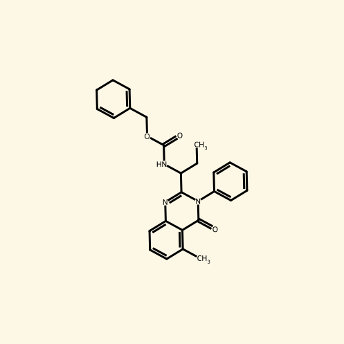 CCC(NC(=O)OCC1=CCCC=C1)c1nc2cccc(C)c2c(=O)n1-c1ccccc1